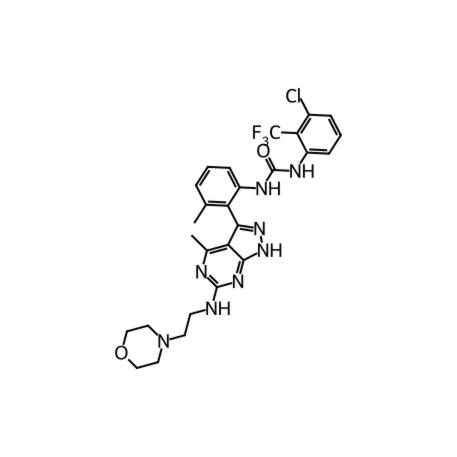 Cc1cccc(NC(=O)Nc2cccc(Cl)c2C(F)(F)F)c1-c1n[nH]c2nc(NCCN3CCOCC3)nc(C)c12